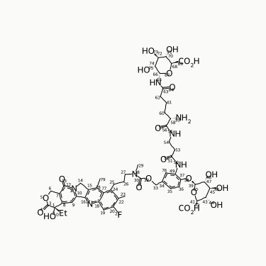 CC[C@@]1(O)C(=O)OCc2c1cc1n(c2=O)Cc2c-1nc1cc(F)c(C)c(CCCN(C)C(=O)OCc3ccc(O[C@@H]4O[C@H](C(=O)O)[C@@H](O)[C@H](O)[C@H]4O)c(NC(=O)CCNC(=O)[C@@H](N)CCCC(=O)N[C@H]4O[C@H](C(=O)O)[C@@H](O)[C@H](O)[C@H]4O)c3)c1c2C